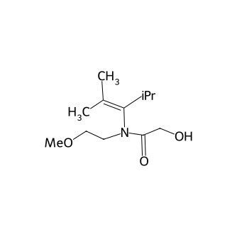 COCCN(C(=O)CO)C(=C(C)C)C(C)C